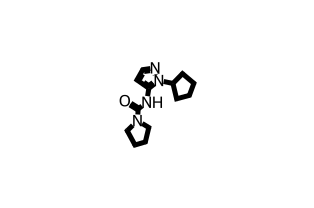 O=C(Nc1ccnn1C1CCCC1)N1CCCC1